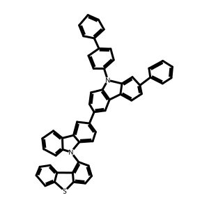 c1ccc(-c2ccc(-n3c4ccc(-c5ccc6c(c5)c5ccccc5n6-c5cccc6sc7ccccc7c56)cc4c4ccc(-c5ccccc5)cc43)cc2)cc1